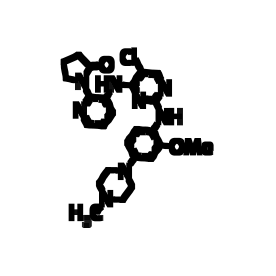 COc1cc(N2CCN(C)CC2)ccc1Nc1ncc(Cl)c(Nc2cccnc2N2CCCC2=O)n1